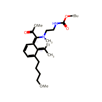 CC/C(C)=c1/c(CCCCOC)ccc/c1=C(\C(=O)OC)N(C)CCNC(=O)OC(C)(C)C